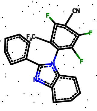 N#Cc1c(F)c(F)c(-n2c(-c3ccccc3)nc3ccccc32)c(C(F)(F)F)c1F